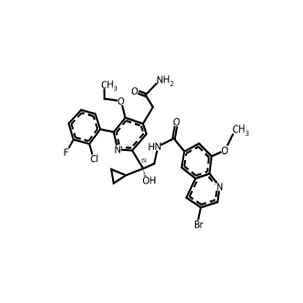 CCOc1c(CC(N)=O)cc([C@@](O)(CNC(=O)c2cc(OC)c3ncc(Br)cc3c2)C2CC2)nc1-c1cccc(F)c1Cl